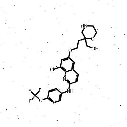 OCC1(CCOc2cc(Cl)c3nc(Nc4ccc(OC(F)(F)F)cc4)ccc3c2)CNCCO1